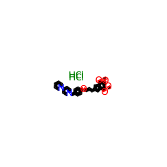 COC1=C(OC)C(=O)C2=C(CC(CCCOc3ccc(CN4CCC(N5CCCCC5)CC4)cc3)C2)C1=O.Cl.Cl